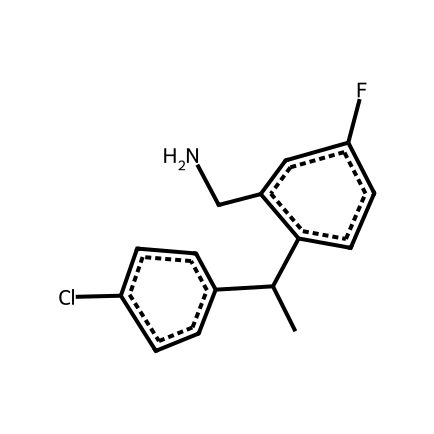 CC(c1ccc(Cl)cc1)c1ccc(F)cc1CN